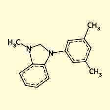 Cc1cc(C)cc(N2CN(C)c3ccccc32)c1